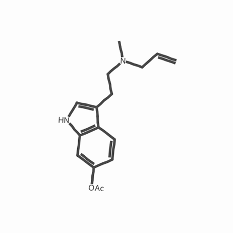 C=CCN(C)CCc1c[nH]c2cc(OC(C)=O)ccc12